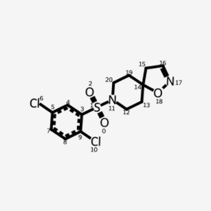 O=S(=O)(c1cc(Cl)ccc1Cl)N1CCC2(CC=NO2)CC1